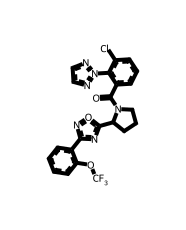 O=C(c1cccc(Cl)c1-n1nccn1)N1CCCC1c1nc(-c2ccccc2OC(F)(F)F)no1